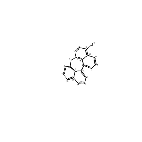 Ic1ccc2c3c(cccc13)-c1cccc3cccc(c13)C2